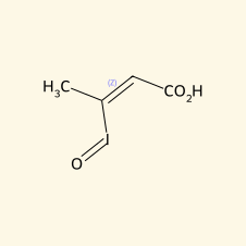 C/C(=C/C(=O)O)I=O